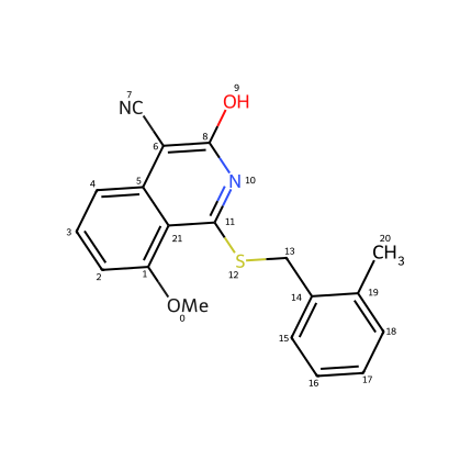 COc1cccc2c(C#N)c(O)nc(SCc3ccccc3C)c12